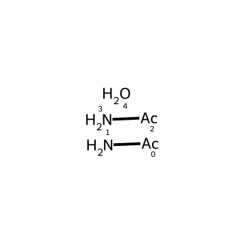 CC(N)=O.CC(N)=O.O